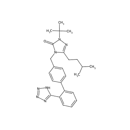 CC(C)CCc1nn(C(C)(C)C)c(=O)n1Cc1ccc(-c2ccccc2-c2nnn[nH]2)cc1